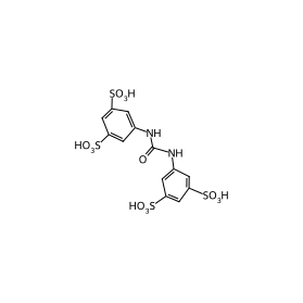 O=C(Nc1cc(S(=O)(=O)O)cc(S(=O)(=O)O)c1)Nc1cc(S(=O)(=O)O)cc(S(=O)(=O)O)c1